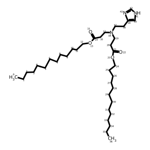 CCCCCCCCCCCCCOC(=O)CCN(CCC(=O)OCCCCCCCCCCCCC)CCc1c[nH]cn1